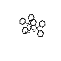 OP(OC(c1ccccc1)(c1ccccc1)c1ccccc1)OC(c1ccccc1)(c1ccccc1)c1ccccc1